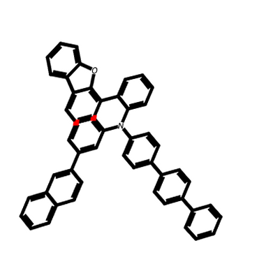 c1ccc(-c2ccc(-c3ccc(N(c4cccc(-c5ccc6ccccc6c5)c4)c4ccccc4-c4cccc5c4oc4ccccc45)cc3)cc2)cc1